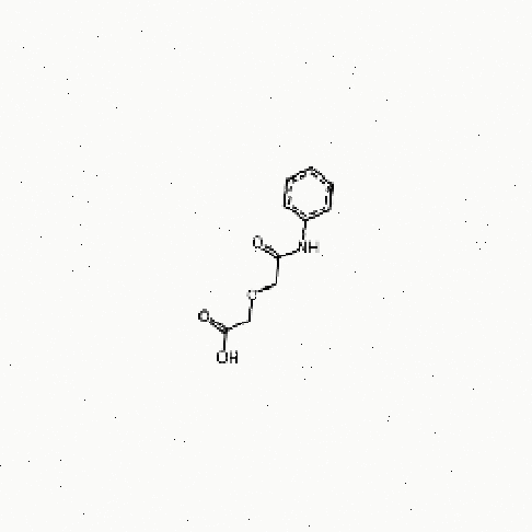 O=C(O)COCC(=O)Nc1ccccc1